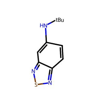 CC(C)(C)Nc1ccc2nsnc2c1